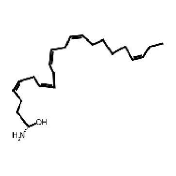 CC/C=C\CCCC/C=C\C/C=C\C/C=C\C/C=C\CC[C@@H](N)O